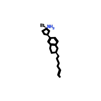 C/C=C/CCCC[C@H]1CCc2cc([C@H]3CC[C@](N)(CC)C3)ccc2C1